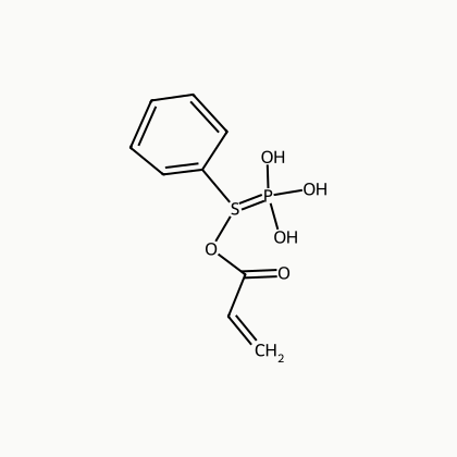 C=CC(=O)OS(c1ccccc1)=P(O)(O)O